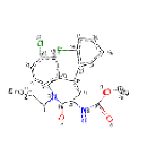 CCOC(=O)CN1C(=O)C(NC(=O)OC(C)(C)C)C=C(c2ccccc2F)c2cc(Cl)ccc21